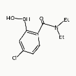 CCN(CC)C(=O)c1ccc(Cl)cc1BO